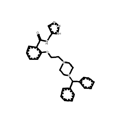 O=C(Nc1cnn[nH]1)c1ccccc1OCCN1CCN(C(c2ccccc2)c2ccccc2)CC1